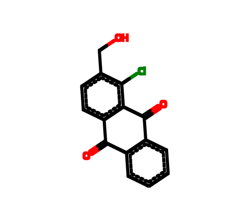 O=C1c2ccccc2C(=O)c2c1ccc(CO)c2Cl